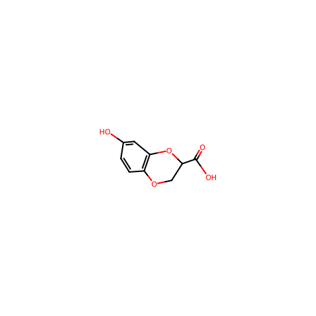 O=C(O)C1COc2ccc(O)cc2O1